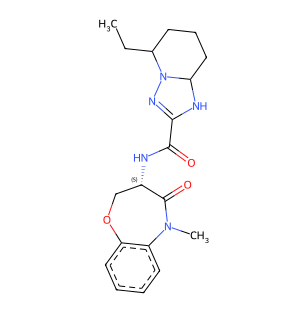 CCC1CCCC2NC(C(=O)N[C@H]3COc4ccccc4N(C)C3=O)=NN12